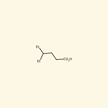 CCC(CC)CCC(=O)O